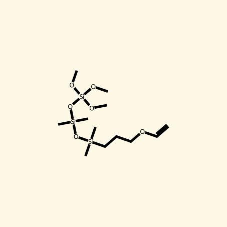 C=COCCC[Si](C)(C)O[Si](C)(C)O[Si](OC)(OC)OC